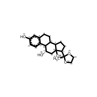 CC1(C2CCC3C4CCc5cc(O)ccc5C4[C@@H](O)CC32C)OCCO1